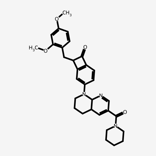 COc1ccc(CC2C(=O)c3ccc(N4CCCC5C=C(C(=O)N6CCCCC6)C=NC54)cc32)c(OC)c1